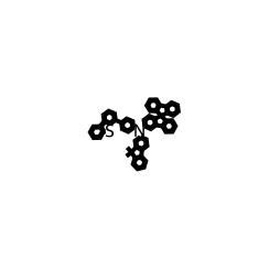 CC1(C)c2ccccc2-c2ccc(N(c3ccc(-c4cccc5c4sc4ccccc45)cc3)c3ccc4c(c3)-c3ccccc3C43c4ccccc4-c4ccccc43)cc21